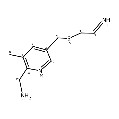 Cc1cc(CSCC=N)cnc1CN